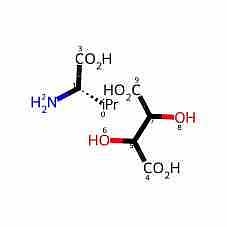 CC(C)[C@H](N)C(=O)O.O=C(O)C(O)C(O)C(=O)O